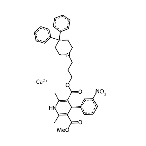 COC(=O)C1=C(C)NC(C)=C(C(=O)OCCCN2CCC(c3ccccc3)(c3ccccc3)CC2)[C@H]1c1cccc([N+](=O)[O-])c1.[Ca+2]